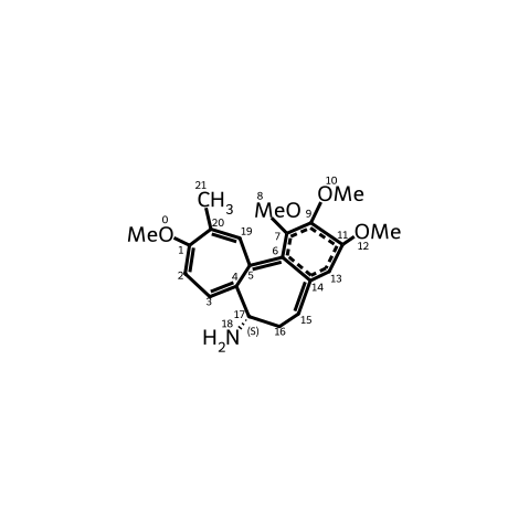 COC1=CC=C2C(=c3c(OC)c(OC)c(OC)cc3=CC[C@@H]2N)C=C1C